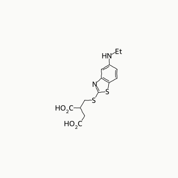 CCNc1ccc2sc(SCC(CC(=O)O)C(=O)O)nc2c1